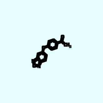 CC(=O)c1ccc(Oc2ccc3nonc3c2)cc1